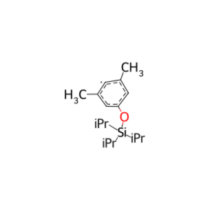 Cc1[c]c(C)cc(O[Si](C(C)C)(C(C)C)C(C)C)c1